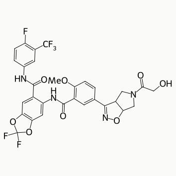 COc1ccc(C2=NOC3CN(C(=O)CO)CC23)cc1C(=O)Nc1cc2c(cc1C(=O)Nc1ccc(F)c(C(F)(F)F)c1)OC(F)(F)O2